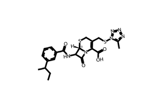 CCC(C)c1cccc(C(=O)NC2C(=O)N3C(C(=O)O)=C(CSn4nnnc4C)CS[C@@H]23)c1